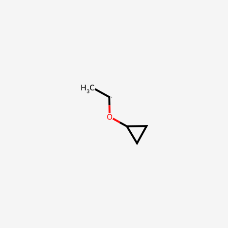 C[CH]OC1CC1